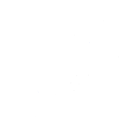 Cc1ccc(N(c2ccc3cc4c(cc3c2)C([Si](C)(C)C)([Si](C)(C)C)c2cc3cc(N(c5ccc(C)cc5)c5cc(C)ccc5C)ccc3cc2-4)c2cc(C)ccc2C)cc1